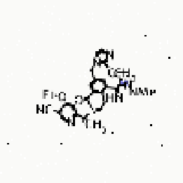 CCOc1cc([C@H](C)N2CCc3c(C(=N)/C(C)=N\NC)cc(Cn4ccnc4C)cc3C2=O)ncc1C#N